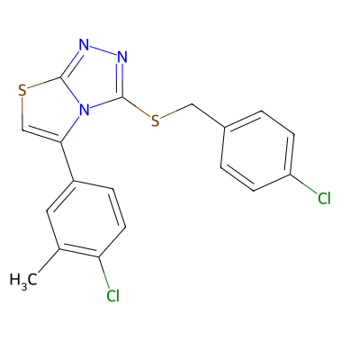 Cc1cc(-c2csc3nnc(SCc4ccc(Cl)cc4)n23)ccc1Cl